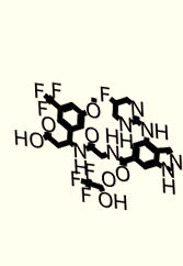 COc1cc(C(CC(=O)O)NC(=O)CNC(=O)c2cc(NC3=NCC(F)CN3)c3cn[nH]c3c2)cc(C(F)(F)F)c1.O=C(O)C(F)(F)F